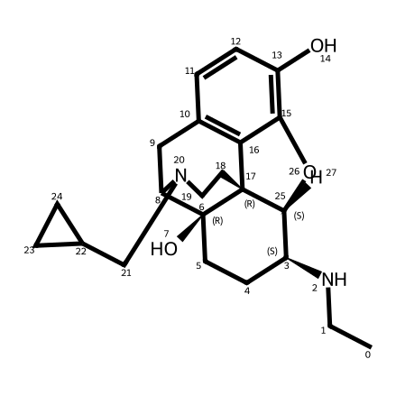 CCN[C@H]1CC[C@]2(O)C3Cc4ccc(O)c5c4[C@]2(CCN3CC2CC2)[C@@H]1O5